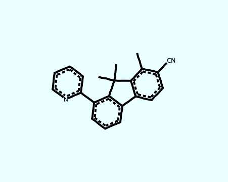 Cc1c(C#N)ccc2c1C(C)(C)c1c(-c3ccccn3)cccc1-2